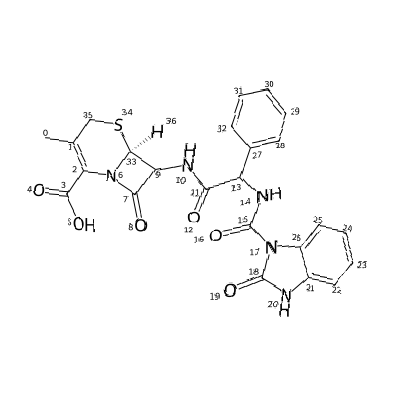 CC1=C(C(=O)O)N2C(=O)C(NC(=O)C(NC(=O)n3c(=O)[nH]c4ccccc43)c3ccccc3)[C@@H]2SC1